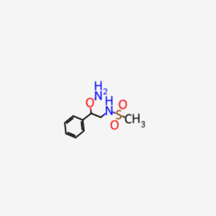 CS(=O)(=O)NCC(ON)c1ccccc1